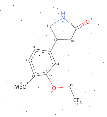 COc1ccc(C2CNC(=O)C2)cc1OCC(F)(F)F